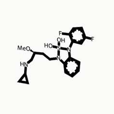 CO[C@@H](CCN1c2ccccc2N(c2cc(F)ccc2F)S1(O)O)CNC1CC1